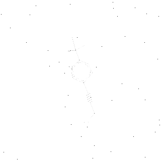 CC(C)(C)c1ccc(C#CCO)cn1